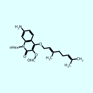 CCCCCCn1c(=O)c(OC=O)c(OC/C=C(\C)CCC=C(C)C)c2ccc(N)cc21